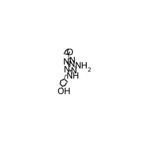 Nc1nc(NCc2ccc(O)cc2)nc2nc(-c3ccco3)nn12